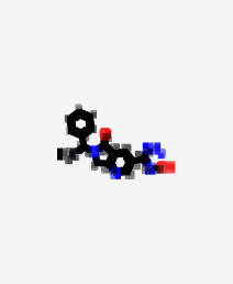 CC(c1ccccc1)N1Cc2ncc(/C(N)=N/O)cc2C1=O